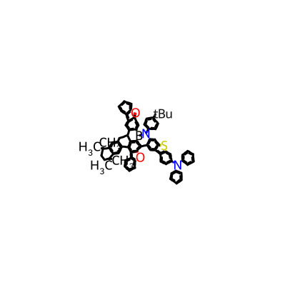 CC(C)(C)c1ccc(N2B3c4cc5oc6ccccc6c5cc4C4Cc5cc6c(cc5-c5c4c3c(c3oc4ccccc4c53)-c3cc4c(cc32)sc2cc(N(c3ccccc3)c3ccccc3)ccc24)C(C)(C)CCC6(C)C)cc1